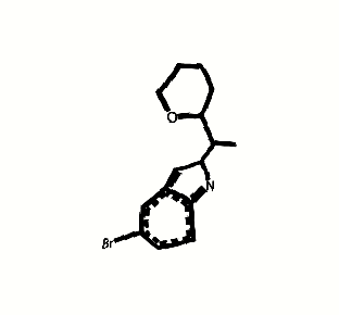 CC(C1C=c2cc(Br)ccc2=N1)C1CCCCO1